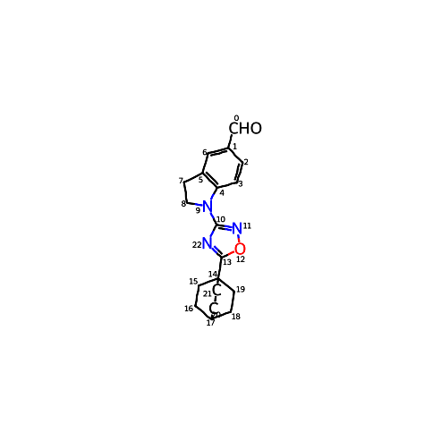 O=Cc1ccc2c(c1)CCN2c1noc(C23CCC(CC2)CC3)n1